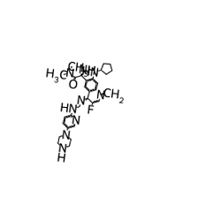 C=N/C=C(F)\C(=N/CNc1ccc(N2CCNCC2)cn1)c1ccc(NC2CCCC2)c(C(=N)C(=O)N(C)C)c1